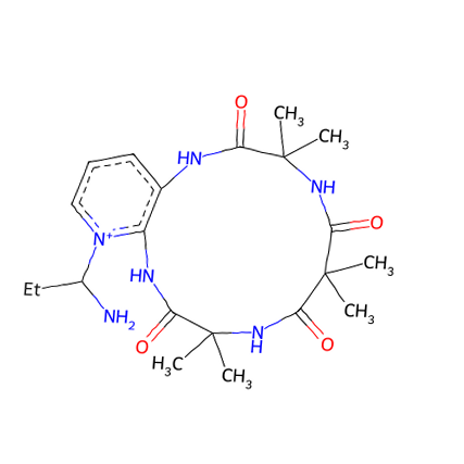 CCC(N)[n+]1cccc2c1NC(=O)C(C)(C)NC(=O)C(C)(C)C(=O)NC(C)(C)C(=O)N2